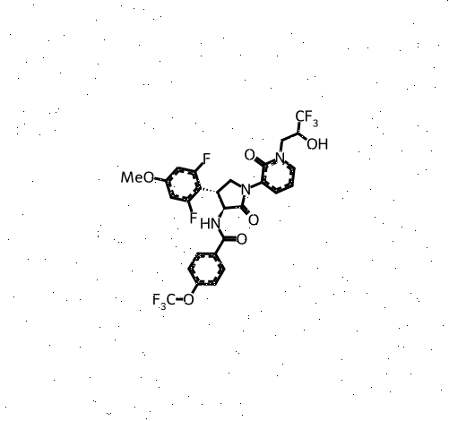 COc1cc(F)c([C@@H]2CN(c3cccn(CC(O)C(F)(F)F)c3=O)C(=O)[C@H]2NC(=O)c2ccc(OC(F)(F)F)cc2)c(F)c1